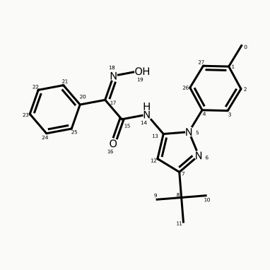 Cc1ccc(-n2nc(C(C)(C)C)cc2NC(=O)C(=NO)c2ccccc2)cc1